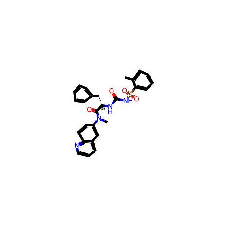 Cc1ccccc1S(=O)(=O)NC(=O)N[C@@H](Cc1ccccc1)C(=O)N(C)c1ccc2ncccc2c1